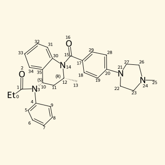 CCC(=O)N(c1ccccc1)[C@H]1C[C@@H](C)N(C(=O)c2ccc(N3CCN(C)CC3)cc2)c2ccccc21